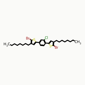 CCCCCCCCc1cc(-c2ccc(-c3cc(CCCCCCCC)c(Br)s3)c(Cl)c2)sc1Br